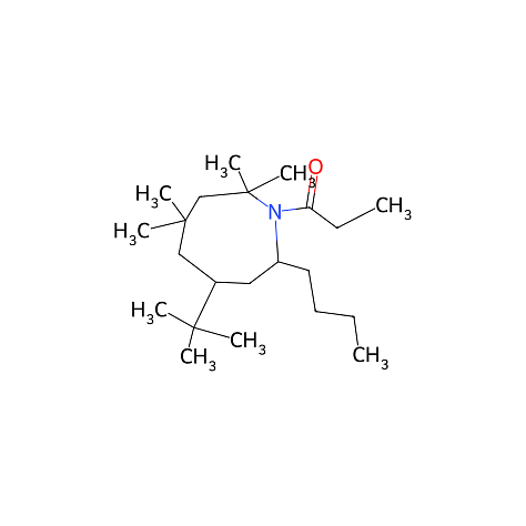 CCCCC1CC(C(C)(C)C)CC(C)(C)CC(C)(C)N1C(=O)CC